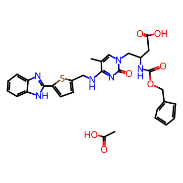 CC(=O)O.Cc1cn(CC(CC(=O)O)NC(=O)OCc2ccccc2)c(=O)nc1NCc1ccc(-c2nc3ccccc3[nH]2)s1